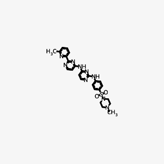 Cc1cccc(-c2nccc(Nc3ccnc(Nc4ccc(S(=O)(=O)N5CCN(C)CC5)cc4)n3)n2)n1